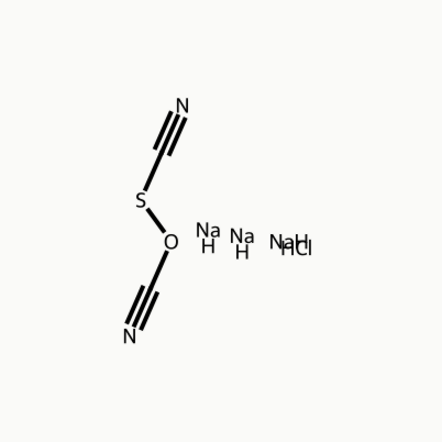 Cl.N#COSC#N.[NaH].[NaH].[NaH]